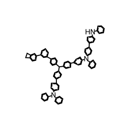 c1ccc(Nc2ccc(-c3ccc(N(c4ccccc4)c4ccc(-c5ccc(C(c6ccc(-c7ccc(N(c8ccccc8)c8ccccc8)cc7)cc6)c6ccc(-c7cccc(-c8ccc9c(c8)CC9)c7)cc6)cc5)cc4)cc3)cc2)cc1